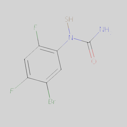 NC(=O)N(S)c1cc(Br)c(F)cc1F